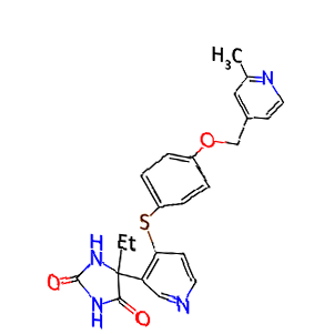 CCC1(c2cnccc2Sc2ccc(OCc3ccnc(C)c3)cc2)NC(=O)NC1=O